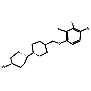 CCC[C@H]1CC[C@H]([C@H]2CC[C@H](COc3ccc(Br)c(F)c3F)CC2)CC1